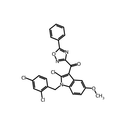 COc1ccc2c(c1)c(C(=O)c1noc(-c3ccccc3)n1)c(Cl)n2Cc1ccc(Cl)cc1Cl